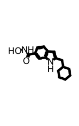 O=C(NO)c1ccc2cc(CC3CCCCC3)[nH]c2c1